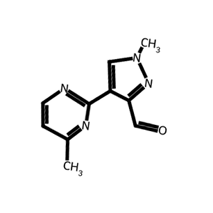 Cc1ccnc(-c2cn(C)nc2C=O)n1